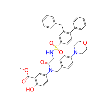 COC(=O)c1cc(N(Cc2ccc(N3CCOCC3)cc2)C(=O)CNS(=O)(=O)c2ccc(-c3ccccc3)c(Cc3ccccc3)c2)ccc1O